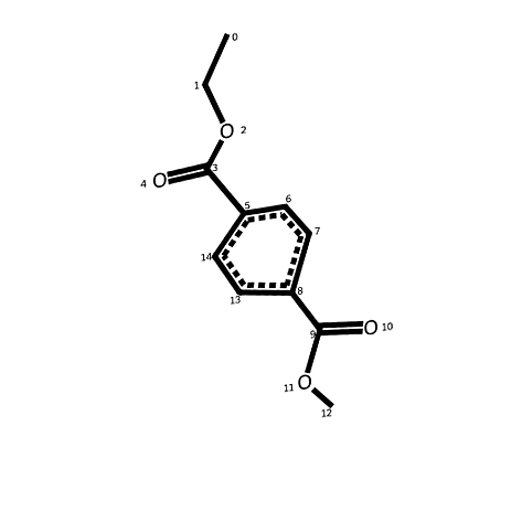 [CH2]COC(=O)c1ccc(C(=O)OC)cc1